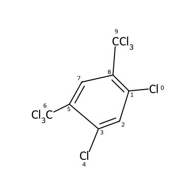 Clc1cc(Cl)c(C(Cl)(Cl)Cl)cc1C(Cl)(Cl)Cl